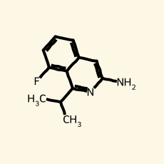 CC(C)c1nc(N)cc2cccc(F)c12